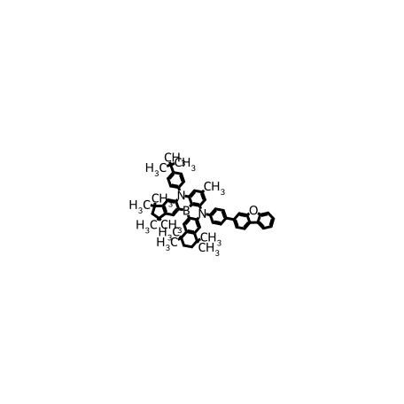 Cc1cc2c3c(c1)N(c1ccc(C(C)(C)C)cc1)c1cc4c(cc1B3c1cc3c(cc1N2c1ccc(-c2ccc5c(c2)oc2ccccc25)cc1)C(C)(C)CCC3(C)C)C(C)(C)CC4(C)C